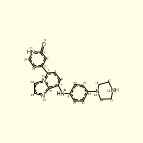 O=c1cc(-c2ccc(Nc3ccc(N4CCNCC4)cc3)c3nccn23)cc[nH]1